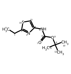 CCc1nc(NC(=O)OC(C)(C)C)cs1